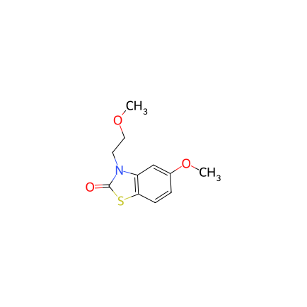 COCCn1c(=O)sc2ccc(OC)cc21